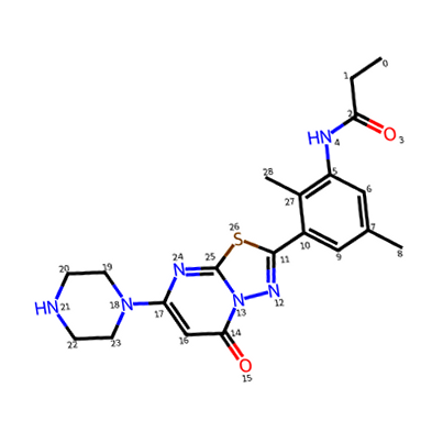 CCC(=O)Nc1cc(C)cc(-c2nn3c(=O)cc(N4CCNCC4)nc3s2)c1C